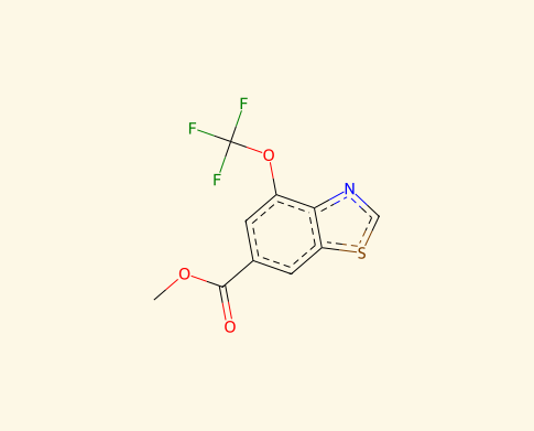 COC(=O)c1cc(OC(F)(F)F)c2ncsc2c1